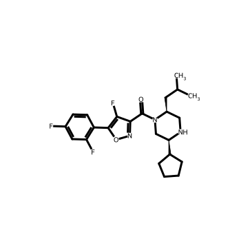 CC(C)C[C@H]1CN[C@@H](C2CCCC2)CN1C(=O)c1noc(-c2ccc(F)cc2F)c1F